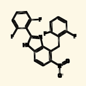 O=[N+]([O-])c1ccc2[nH]c(-c3c(F)cccc3F)nc2c1Cc1c(F)cccc1F